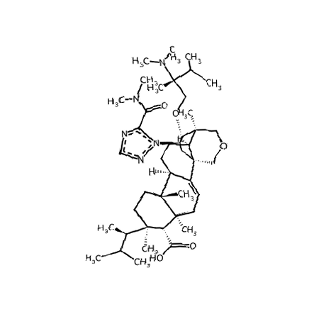 CC(C)[C@@H](C)[C@@]1(C)CC[C@]2(C)[C@H]3CC[C@@H]4[C@@]5(COC[C@]4(C)[C@@H](OC[C@@](C)(C(C)C)N(C)C)[C@H](n4ncnc4C(=O)N(C)C)C5)C3=CC[C@@]2(C)[C@@H]1C(=O)O